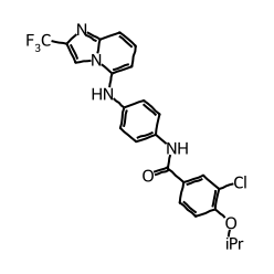 CC(C)Oc1ccc(C(=O)Nc2ccc(Nc3cccc4nc(C(F)(F)F)cn34)cc2)cc1Cl